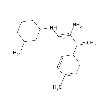 C=C(/C(N)=C/NC1CCCC(C)C1)C1C=CC(C)=CC1